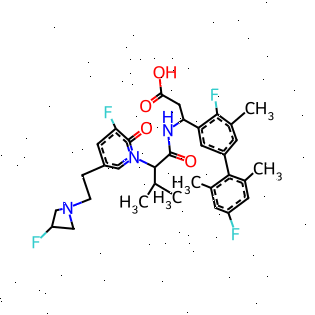 Cc1cc(-c2c(C)cc(F)cc2C)cc(C(CC(=O)O)NC(=O)C(C(C)C)n2cc(CCN3CC(F)C3)cc(F)c2=O)c1F